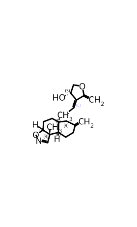 C=C1OC[C@@H](O)/C1=C\C[C@@H]1C(=C)CC[C@@H]2[C@]3(C)C=NO[C@@H]3CC[C@@]12C